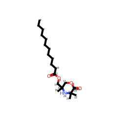 CCCCCCCCCCCC(=O)OCC1(C)COC(=O)C(C)(C)N1